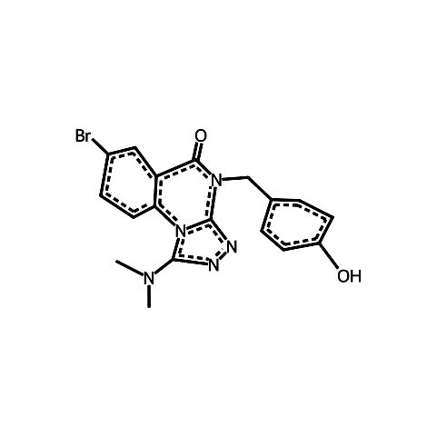 CN(C)c1nnc2n(Cc3ccc(O)cc3)c(=O)c3cc(Br)ccc3n12